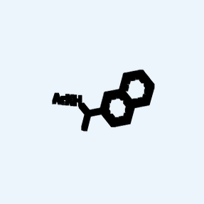 CC(=O)NC(C)c1ccc2ccccc2c1